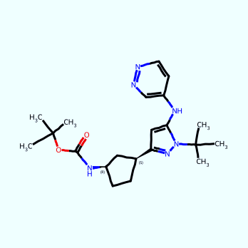 CC(C)(C)OC(=O)N[C@@H]1CC[C@H](c2cc(Nc3ccnnc3)n(C(C)(C)C)n2)C1